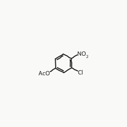 CC(=O)Oc1ccc([N+](=O)[O-])c(Cl)c1